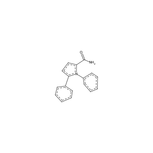 NC(=O)c1ccc(-c2ccccc2)n1-c1ccccc1